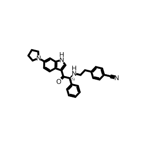 N#Cc1ccc(CCN[C@H](C(=O)c2c[nH]c3cc(N4CCCC4)ccc23)c2ccccc2)cc1